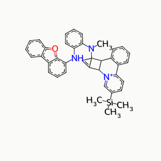 CN(c1ccccc1Nc1cccc2c1oc1ccccc12)C12C=C1C1C2c2ccccc2-c2ccc([Si](C)(C)C)c[n+]21